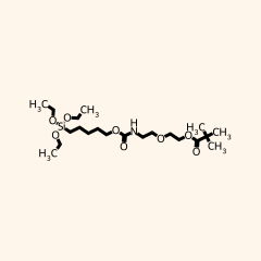 CCO[Si](CCCCCOC(=O)NCCOCCOC(=O)C(C)(C)C)(OCC)OCC